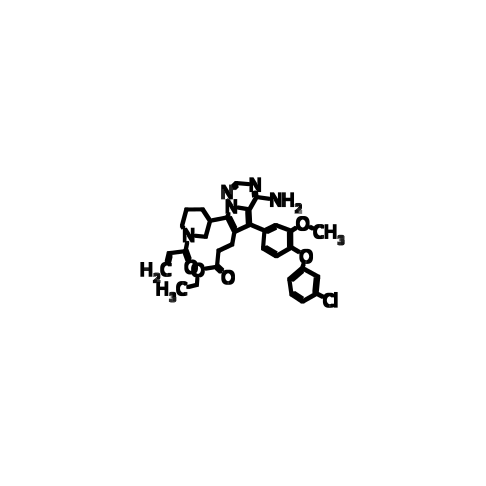 C=CC(=O)N1CCCC(c2c(CCC(=O)OCC)c(-c3ccc(Oc4cccc(Cl)c4)c(OC)c3)c3c(N)ncnn23)C1